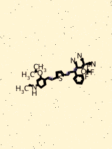 CCNC1C=C(OC(C)C)C(/C=C/c2ccc(/C=C/C(=C(\C#N)C(OC(F)(F)F)=C(C#N)C#N)c3ccccc3)s2)=CC1